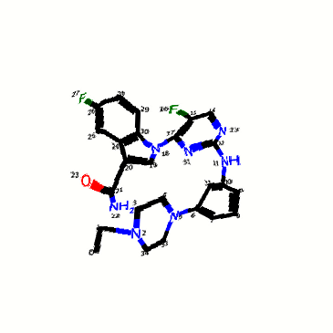 CCN1CCN(c2cccc(Nc3ncc(F)c(-n4cc(C(N)=O)c5cc(F)ccc54)n3)c2)CC1